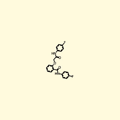 O=C(COc1ccccc1C(=O)Nc1ccc(F)cc1)Nc1ccc(F)cc1